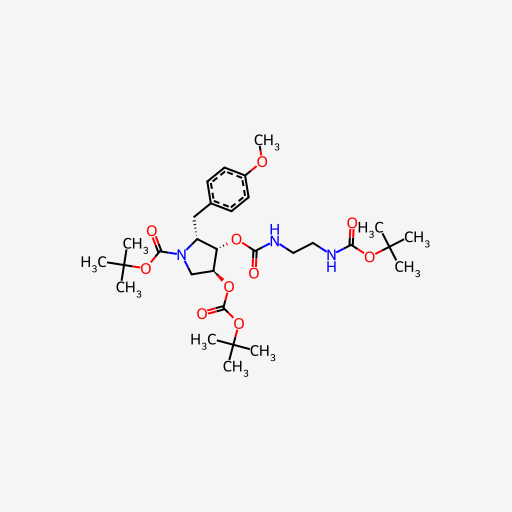 COc1ccc(C[C@@H]2[C@H](OC(=O)NCCNC(=O)OC(C)(C)C)[C@@H](OC(=O)OC(C)(C)C)CN2C(=O)OC(C)(C)C)cc1